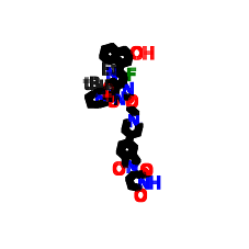 CCc1cccc2cc(O)cc(-c3ncc4c(N5CC6CCC(C5)N6C(=O)OC(C)(C)C)nc(OCCN5CCC(c6ccc7c(c6)CN(C6CCC(=O)NC6=O)C7=O)CC5)nc4c3F)c12